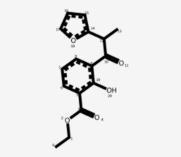 CCOC(=O)c1cccc(C(=O)C(C)c2ccco2)c1O